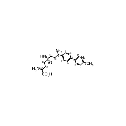 Cc1ccc(-c2ccc(C(CCS(=N)(=O)CC[C@H](N)C(=O)O)C(F)(F)F)cc2)cn1